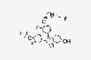 COc1ccc(C2COc3cc(O)ccc3N2c2ccc(O[C@@H]3CCN(CCCF)C3)c(F)c2)cc1F